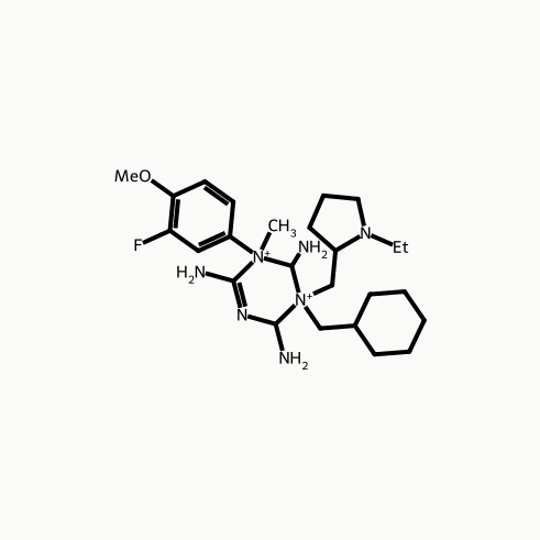 CCN1CCCC1C[N+]1(CC2CCCCC2)C(N)N=C(N)[N+](C)(c2ccc(OC)c(F)c2)C1N